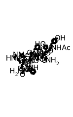 CNC(=N)NCCC[C@H](NC(=O)[C@H](CC1CCC1)NC(=O)CNC(=O)[C@H](CC1CCCCC1)NC(=O)[C@@H](NC(=O)[C@H](CC(N)=O)NC(=O)[C@@H]1C[C@@H](O)CN1C(=O)[C@@H](Cc1ccc(O)cc1)NC(C)=O)[C@@H](C)O)C(=O)N[C@@H](Cc1c[nH]c2ccccc12)C(N)=O